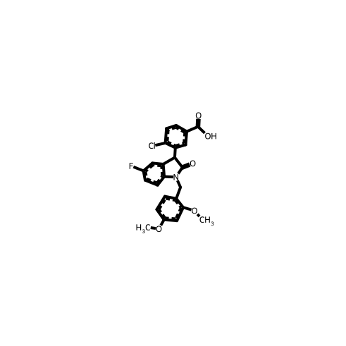 COc1ccc(CN2C(=O)C(c3cc(C(=O)O)ccc3Cl)c3cc(F)ccc32)c(OC)c1